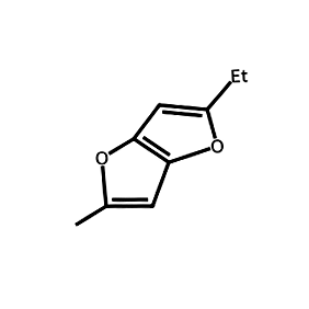 CCc1cc2oc(C)cc2o1